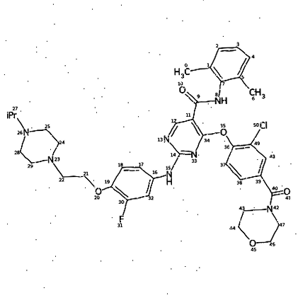 Cc1cccc(C)c1NC(=O)c1cnc(Nc2ccc(OCCN3CCN(C(C)C)CC3)c(F)c2)nc1Oc1ccc(C(=O)N2CCOCC2)cc1Cl